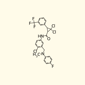 CN(Cc1cc(NC(=O)C2C(c3cccc(C(F)(F)F)c3)C2(Cl)Cl)ccc1Cl)c1ccc(F)cc1